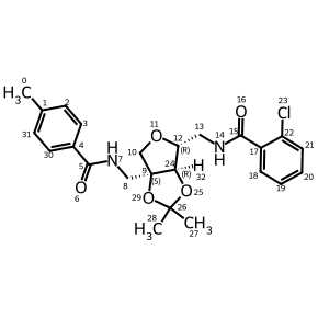 Cc1ccc(C(=O)NC[C@]23CO[C@H](CNC(=O)c4ccccc4Cl)[C@H]2OC(C)(C)O3)cc1